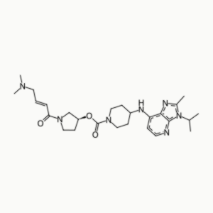 Cc1nc2c(NC3CCN(C(=O)O[C@H]4CCN(C(=O)/C=C/CN(C)C)C4)CC3)ccnc2n1C(C)C